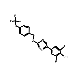 Oc1c(Cl)cc(-c2cnc(OCc3ccc(OC(F)(F)F)cc3)nn2)cc1Cl